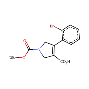 CC(C)(C)OC(=O)N1CC(C(=O)O)=C(c2ccccc2Br)C1